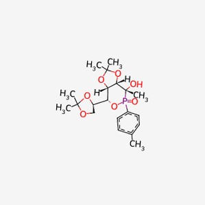 Cc1ccc(P2(=O)O[C@H]([C@H]3COC(C)(C)O3)[C@@H]3OC(C)(C)O[C@@H]3[C@]2(C)O)cc1